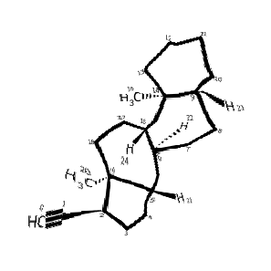 C#C[C@@H]1CC[C@H]2[C@@H]3CC[C@H]4CCCC[C@]4(C)[C@H]3CC[C@]12C